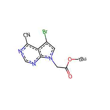 CC(C)(C)OC(=O)Cn1cc(Br)c2c(C#N)ncnc21